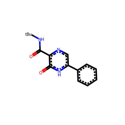 CC(C)(C)NC(=O)c1ncc(-c2ccccc2)[nH]c1=O